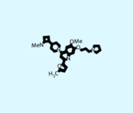 CNC1CCC1C1CCN(c2cc(-c3ccc(C)o3)nc3cc(OCCCN4CCCC4)c(OC)cc23)CC1